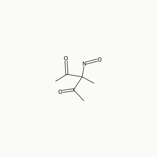 CC(=O)C(C)(N=O)C(C)=O